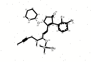 CC#CC[C@H](C)[C@@H](/C=C/C1=C(c2cccc(Br)c2F)C(=O)C[C@H]1O[C@H]1CCCCO1)O[Si](C)(C)C(C)(C)C